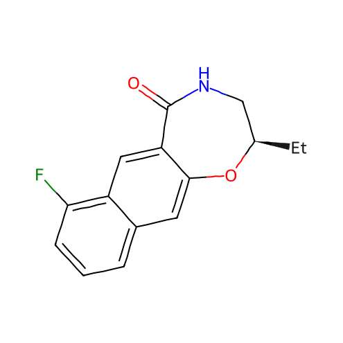 CC[C@@H]1CNC(=O)c2cc3c(F)cccc3cc2O1